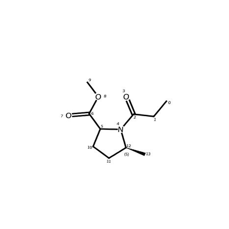 CCC(=O)N1C(C(=O)OC)CC[C@@H]1C